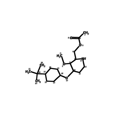 COC1C(COC(C)=O)NCCC1OC1CCC(C(C)(C)C)CC1